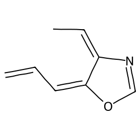 C=C/C=c1/ocn/c1=C/C